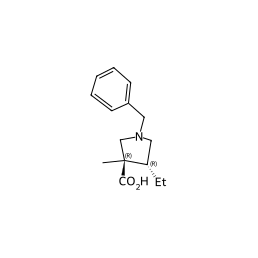 CC[C@H]1CN(Cc2ccccc2)C[C@]1(C)C(=O)O